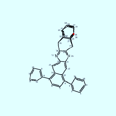 c1ccc(-c2ccc(-c3ccccc3)c3cc4nc5c(nc4cc23)C2c3ccccc3C5c3ccccc32)cc1